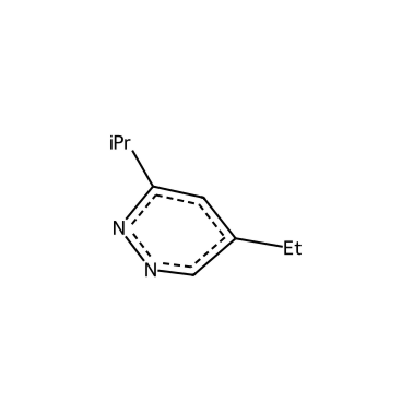 CCc1cnnc(C(C)C)c1